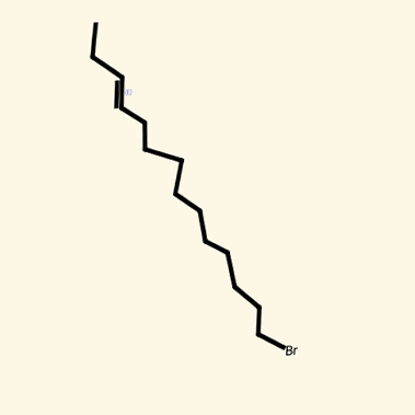 CC/C=C/CCCCCCCCCCBr